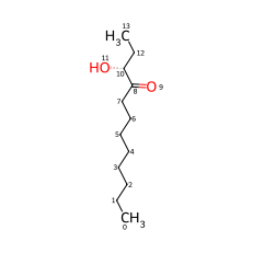 CCCCCCCCC(=O)[C@H](O)CC